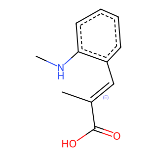 CNc1ccccc1/C=C(\C)C(=O)O